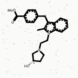 COC(=O)c1ccc(Cc2c(C)n(CCN3CC[C@H](O)C3)c3ccccc23)cc1